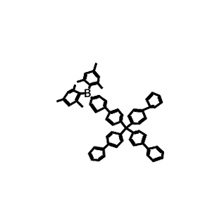 Cc1cc(C)c(B(c2ccc(-c3ccc(C(c4ccc(-c5ccccc5)cc4)(c4ccc(-c5ccccc5)cc4)c4ccc(-c5ccccc5)cc4)cc3)cc2)c2c(C)cc(C)cc2C)c(C)c1